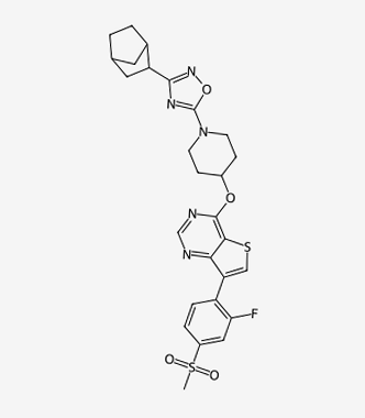 CS(=O)(=O)c1ccc(-c2csc3c(OC4CCN(c5nc(C6CC7CCC6C7)no5)CC4)ncnc23)c(F)c1